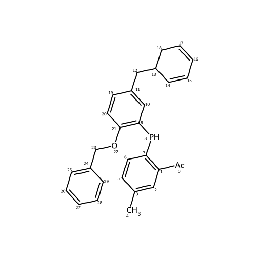 CC(=O)c1cc(C)ccc1Pc1cc(CC2C=CC=CC2)ccc1OCc1ccccc1